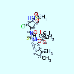 Cc1ccc(CC(CNC(=S)N(O)Cc2ccc(NS(C)(=O)=O)cc2Cl)COC(=O)C(C)(C)C)cc1C